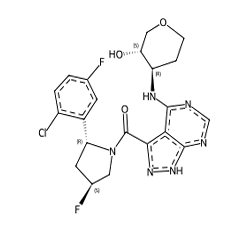 O=C(c1n[nH]c2ncnc(N[C@@H]3CCOC[C@H]3O)c12)N1C[C@@H](F)C[C@@H]1c1cc(F)ccc1Cl